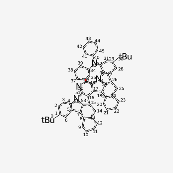 CC(C)(C)c1ccc2c(c1)c1c3ccccc3cc3c4c5c6c7ccccc7cc7c8cc(C(C)(C)C)cc(N(c9ccccc9)c9ccccc9)c8n(c5cnc4n2c31)c76